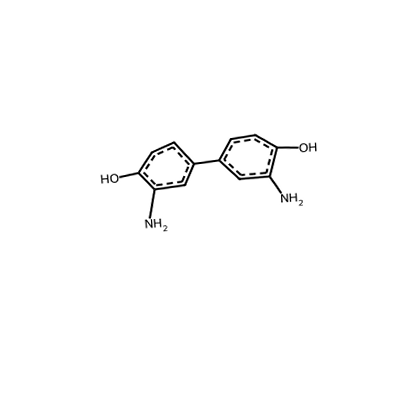 Nc1cc(-c2ccc(O)c(N)c2)ccc1O